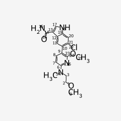 COCCN(C)c1ccc(-c2cc3c(C(N)=O)c[nH]c3cc2Cl)c(OC)n1